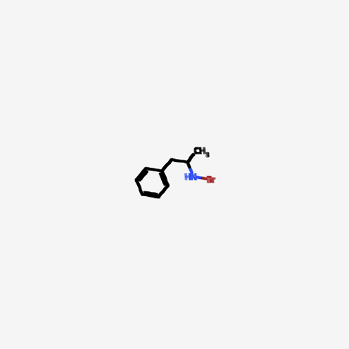 CC(Cc1ccccc1)NBr